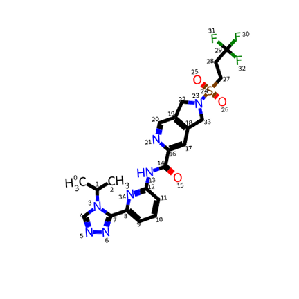 CC(C)n1cnnc1-c1cccc(NC(=O)c2cc3c(cn2)CN(S(=O)(=O)CCC(F)(F)F)C3)n1